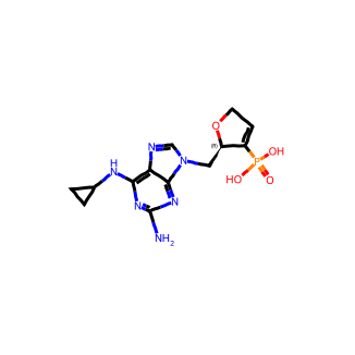 Nc1nc(NC2CC2)c2ncn(C[C@H]3OCC=C3P(=O)(O)O)c2n1